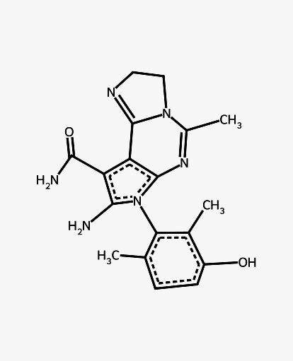 CC1=Nc2c(c(C(N)=O)c(N)n2-c2c(C)ccc(O)c2C)C2=NCCN12